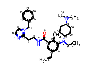 C=Cc1cc(C(=O)NCCc2nccn2Cc2ccccc2)c(C)c(N(CC)[C@H]2CC[C@H](N(C)C)CC2)c1